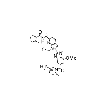 COc1cc(C(=O)N2C[C@H](N)CCN2C)cc2nc(-c3cc4ccc([C@@H](C)NC(=O)c5ccccc5C)nc4n3CC3CC3)n(C)c12